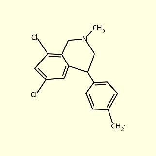 [CH2]c1ccc(C2CN(C)Cc3c(Cl)cc(Cl)cc32)cc1